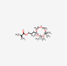 C=C(C)C(=O)OCCC[Si]1(C)O[SiH2]O[SiH2]O[Si](C)(C)O[Si](C)(C)O1